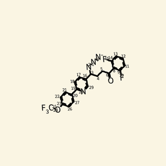 [N-]=[N+]=NC(CCC(=O)c1c(F)cccc1F)c1ccc(-c2ccc(OC(F)(F)F)cc2)nc1